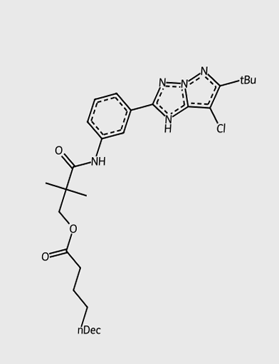 CCCCCCCCCCCCCC(=O)OCC(C)(C)C(=O)Nc1cccc(-c2nn3nc(C(C)(C)C)c(Cl)c3[nH]2)c1